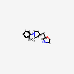 O=[N+]([O-])c1ccccc1N1CCC(CC2CNCCO2)CC1